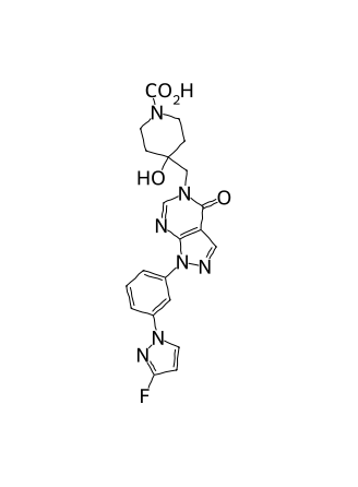 O=C(O)N1CCC(O)(Cn2cnc3c(cnn3-c3cccc(-n4ccc(F)n4)c3)c2=O)CC1